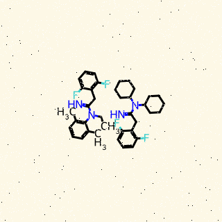 CCN(C(=N)Cc1c(F)cccc1F)c1c(C)cccc1C.N=C(Cc1c(F)cccc1F)N(C1CCCCC1)C1CCCCC1